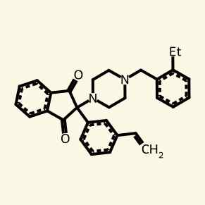 C=Cc1cccc(C2(N3CCN(Cc4ccccc4CC)CC3)C(=O)c3ccccc3C2=O)c1